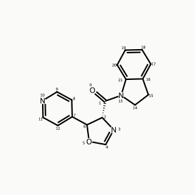 O=C([C@@H]1N=COC1c1ccncc1)N1CCc2ccccc21